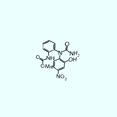 COC(=O)Nc1ccccc1N(C(N)=O)c1ccc([N+](=O)[O-])cc1O